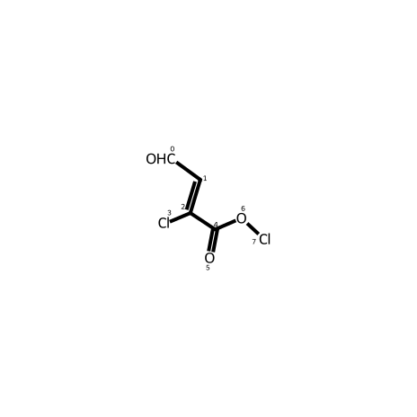 O=CC=C(Cl)C(=O)OCl